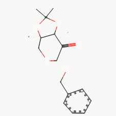 CC1(C)O[C@@H]2CO[C@@H](OCc3ccccc3)C(=O)[C@@H]2O1